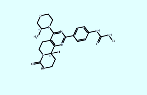 CCNC(=O)Nc1ccc(-c2nc3c(c(N4CCOC[C@@H]4C)n2)CCN2C(=O)NCC[C@@H]32)cc1